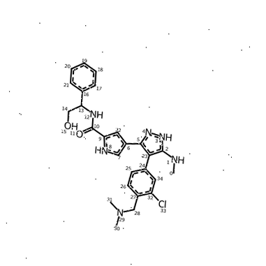 CNc1[nH]nc(-c2c[nH]c(C(=O)NC(CO)c3ccccc3)c2)c1-c1ccc(CN(C)C)c(Cl)c1